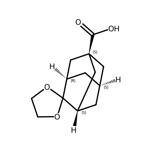 O=C(O)[C@]12C[C@@H]3C[C@H](C1)C1(OCCO1)[C@@H](C3)C2